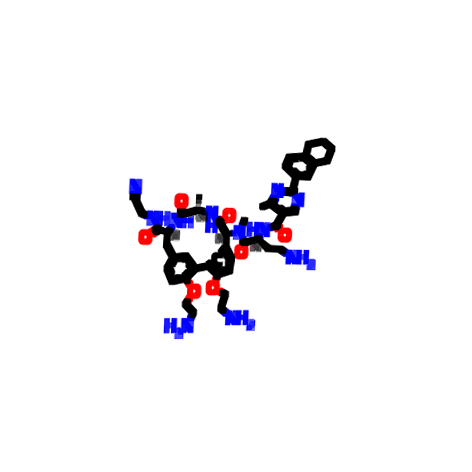 Cc1nc(-c2ccc3c(c2)CCCC3)ncc1C(=O)N[C@@H](CCN)C(=O)N(C)[C@@H]1C(=O)N[C@@H](C)C(=O)N[C@H](C(=O)NCC#N)Cc2ccc(OCCN)c(c2)-c2cc1ccc2OCCN